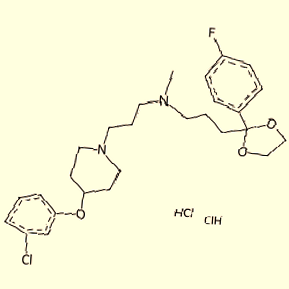 CN(CCCN1CCC(Oc2cccc(Cl)c2)CC1)CCCC1(c2ccc(F)cc2)OCCO1.Cl.Cl